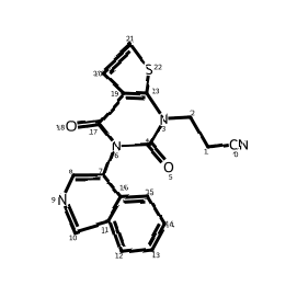 N#CCCn1c(=O)n(-c2cncc3ccccc23)c(=O)c2ccsc21